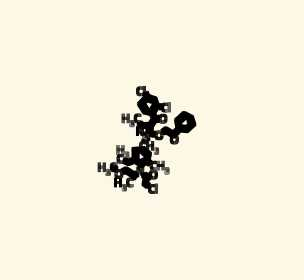 CCc1cccc(C)c1N(C(=O)CCl)C(C)COC.Cc1nn(C)c(OCC(=O)c2ccccc2)c1C(=O)c1ccc(Cl)cc1Cl